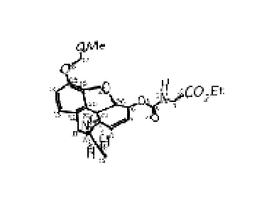 CCOC(=O)CNC(=O)OC1C=C[C@H]2[C@H]3Cc4ccc(OCOC)c5c4[C@@]2(CCN3C)C1O5